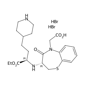 Br.Br.CCOC(=O)[C@@H](CCC1CCNCC1)N[C@H]1CSc2ccccc2N(CC(=O)O)C1=O